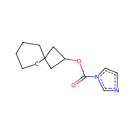 O=C(OC1CC2(CCCCC2)C1)n1ccnc1